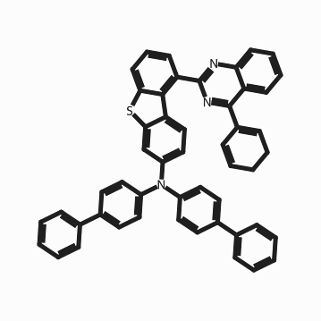 C1=CC(c2nc(-c3cccc4sc5cc(N(c6ccc(-c7ccccc7)cc6)c6ccc(-c7ccccc7)cc6)ccc5c34)nc3ccccc23)=CCC1